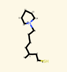 CC(CCS)CCCCN1CCCCC1